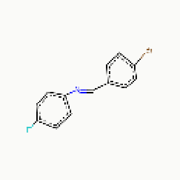 Fc1ccc(N=Cc2ccc(Br)cc2)cc1